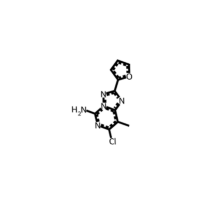 Cc1c(Cl)nc(N)n2nc(-c3ccco3)nc12